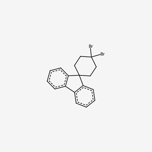 BrC1(Br)CCC2(CC1)c1ccccc1-c1ccccc12